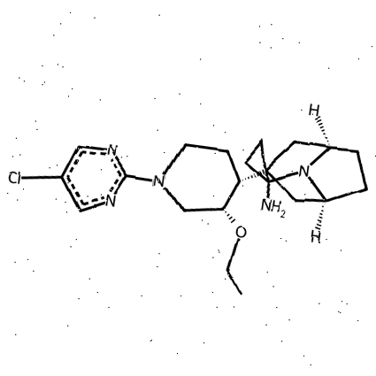 CCO[C@@H]1CN(c2ncc(Cl)cn2)CC[C@@H]1C1C[C@H]2CC[C@@H](C1)N2C1(N)CC1